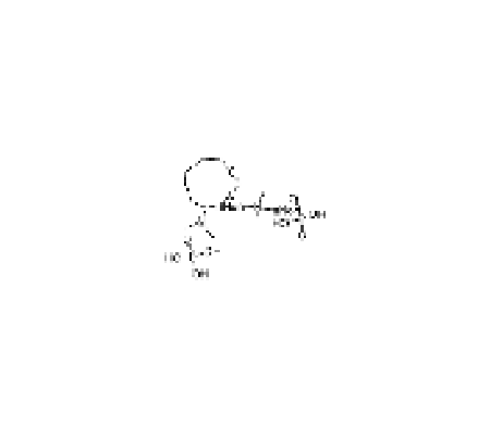 CCCCCCCCC[N+](C)(C)CCCCCCCCC.CN(C)C1CCCCCCCCC1.O=P(O)(O)O.O=P([O-])(O)O